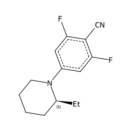 CC[C@H]1CCCCN1c1cc(F)c(C#N)c(F)c1